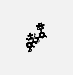 CCC(N(NC(=O)c1cc(C)cc(B2OC(C)(C)C(C)(C)O2)c1)C(=O)c1cccc(OC)c1C)C(C)(C)C